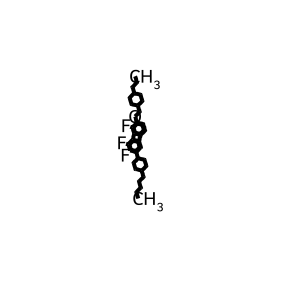 CCCCCC1CCC(c2cc3c(c(F)c2F)-c2c-3ccc(OCC3CCC(CCC)CC3)c2F)CC1